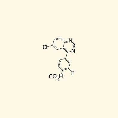 O=C(O)c1ccc(-c2ncnc3ccc(Cl)cc23)cc1F